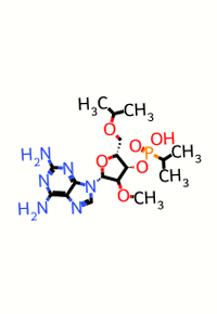 COC1[C@@H](OP(=O)(O)C(C)C)[C@@H](COC(C)C)O[C@H]1n1cnc2c(N)nc(N)nc21